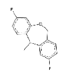 CC1c2cc(F)ccc2COc2cc(F)ccc21